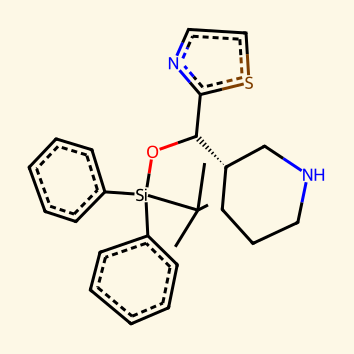 CC(C)(C)[Si](OC(c1nccs1)[C@H]1CCCNC1)(c1ccccc1)c1ccccc1